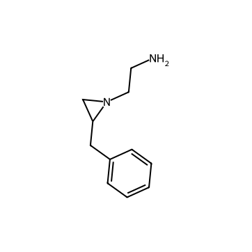 NCCN1CC1Cc1ccccc1